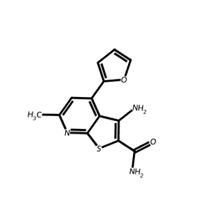 Cc1cc(-c2ccco2)c2c(N)c(C(N)=O)sc2n1